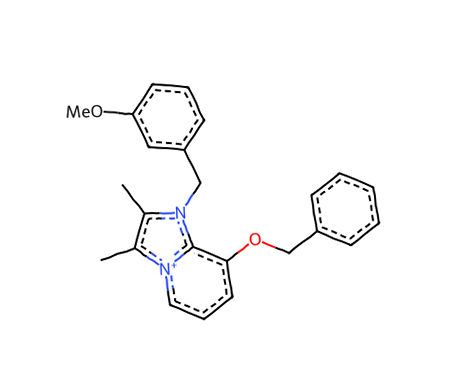 COc1cccc(Cn2c(C)c(C)[n+]3cccc(OCc4ccccc4)c23)c1